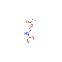 C=C(C)C(=O)NCCOC(=O)CCCC